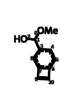 COC(O)c1ccc2c(c1)C=C2